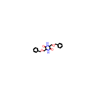 O=C1NC(COCc2ccccc2)C(=O)NC1COCc1ccccc1